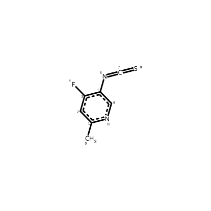 Cc1cc(F)c(N=C=S)cn1